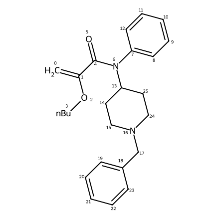 C=C(OCCCC)C(=O)N(c1ccccc1)C1CCN(Cc2ccccc2)CC1